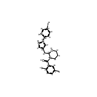 Cc1ccc(I)c(C(=O)N2CCCOC2Cc2cnn(-c3ccc(F)cn3)c2)c1